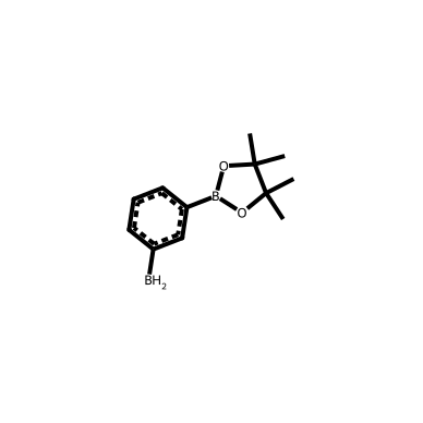 Bc1cccc(B2OC(C)(C)C(C)(C)O2)c1